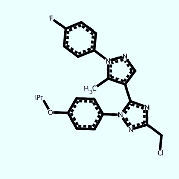 Cc1c(-c2nc(CCl)nn2-c2ccc(OC(C)C)cc2)cnn1-c1ccc(F)cc1